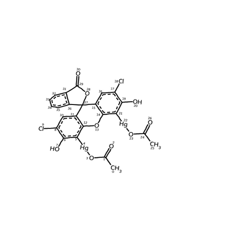 CC(=O)[O][Hg][c]1c(O)c(Cl)cc2c1Oc1c(cc(Cl)c(O)[c]1[Hg][O]C(C)=O)C21OC(=O)c2ccccc21